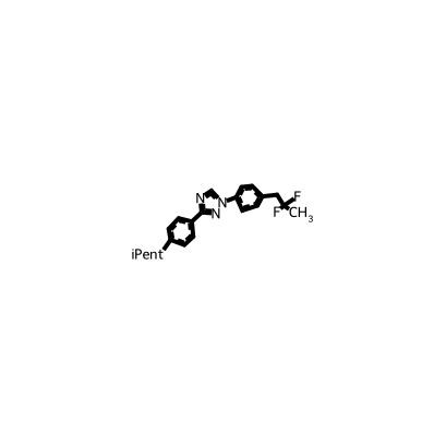 CCCC(C)c1ccc(-c2ncn(-c3ccc(CC(C)(F)F)cc3)n2)cc1